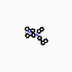 c1cc2c(c(-c3ccc(N(c4ccc(-c5cccc6ccccc56)cc4)c4ccc5ccccc5c4)cc3)c1)-n1c3ccccc3c3cccc(c31)S2